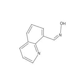 O/N=C\c1cccc2cccnc12